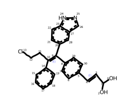 OC(O)/C=C/c1ccc(/C(=C(/CCCl)c2ccccc2)c2ccc3[nH]ncc3c2)cc1